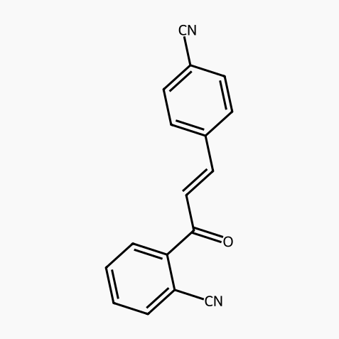 N#Cc1ccc(C=CC(=O)c2ccccc2C#N)cc1